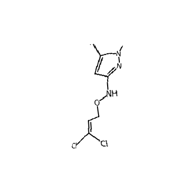 [CH2]c1cc(NOCC=C(Cl)Cl)nn1C